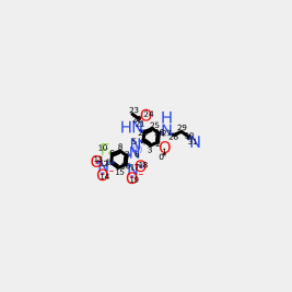 COc1cc(/N=N/c2cc(F)c([N+](=O)[O-])cc2[N+](=O)[O-])c(NC(C)=O)cc1NCCC#N